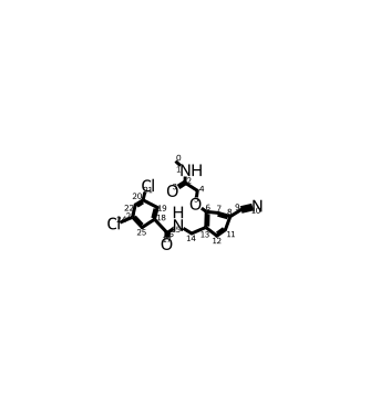 CNC(=O)COc1cc(C#N)ccc1CNC(=O)c1cc(Cl)cc(Cl)c1